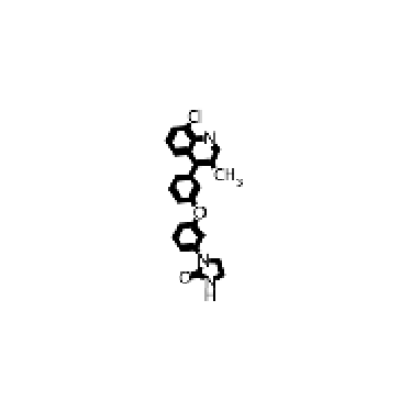 Cc1cnc2c(Cl)cccc2c1-c1cccc(Oc2cccc(N3CCNC3=O)c2)c1